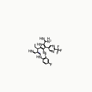 CCC(/C(C=N)=C/Nc1ccc(F)cc1F)c1[nH]c(C(=N)N)c(-c2cnc(C(F)(F)F)nc2)c1Br